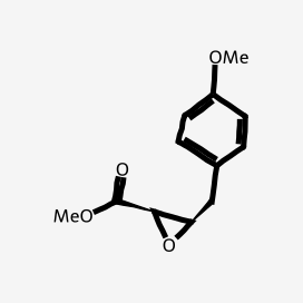 COC(=O)[C@@H]1O[C@@H]1Cc1ccc(OC)cc1